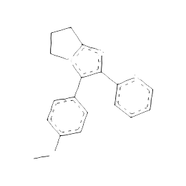 COc1ccc(-c2c(-c3ccccn3)nc3n2CCC3)cc1